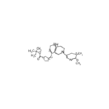 COC1=NC=C(N2CCC3=C(C2)C(O[C@H]2CCN(C(=O)OC(C)(C)C)C2)=NCN3)C[C@H]1C